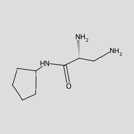 NC[C@@H](N)C(=O)NC1CCCC1